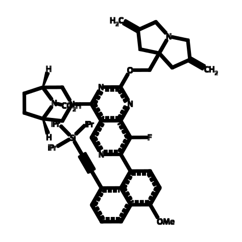 C=C1CN2CC(=C)CC2(COc2nc(N3C[C@H]4CC[C@@H](C3)N4C(=O)O)c3cnc(-c4ccc(OC)c5cccc(C#C[Si](C(C)C)(C(C)C)C(C)C)c45)c(F)c3n2)C1